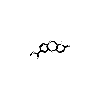 COC(=O)c1ccc2c(c1)Oc1ccc(=O)[nH]c1CO2